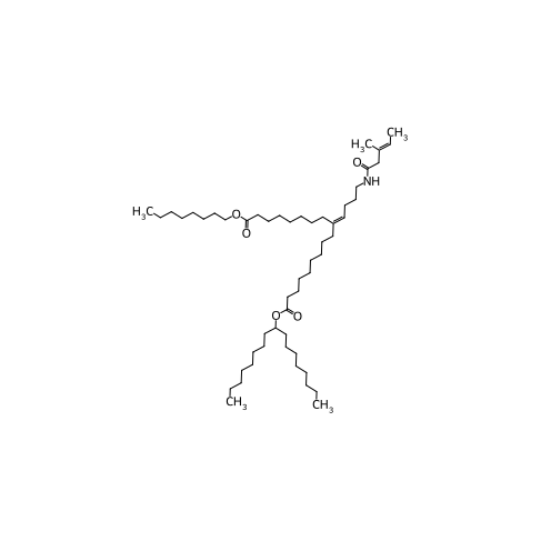 C/C=C(\C)CC(=O)NCCC/C=C(/CCCCCCCCC(=O)OC(CCCCCCCC)CCCCCCCC)CCCCCCCC(=O)OCCCCCCCC